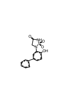 O=C1CN(c2cc(-c3ccccc3)ccc2O)S(=O)(=O)N1